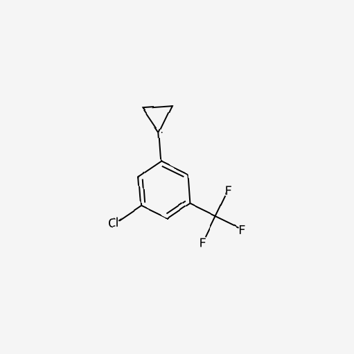 FC(F)(F)c1cc(Cl)cc([C]2CC2)c1